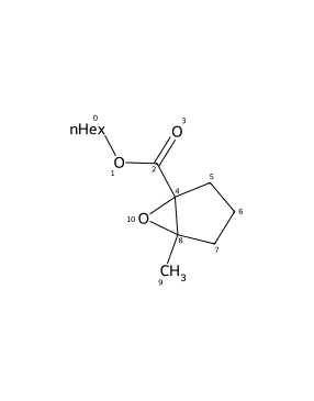 CCCCCCOC(=O)C12CCCC1(C)O2